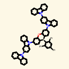 CC(C)c1cc(C(C)C)c(B2c3ccc(-n4c5ccccc5c5cc(-n6c7ccccc7c7ccccc76)ccc54)cc3Oc3cc(-n4c5ccccc5c5cc(-n6c7ccccc7c7ccccc76)ccc54)ccc32)c(C(C)C)c1